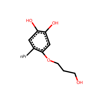 CCCc1cc(O)c(O)cc1OCCCO